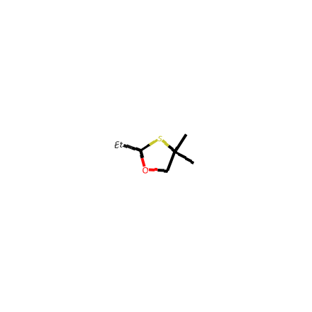 CCC1OCC(C)(C)S1